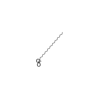 CCCCCCCCCCCCCCCCCCCC1CC(=O)O1